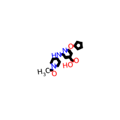 CC(=O)N1CCC(Nc2cc(C(=O)O)cc(OC3CCCC3)n2)CC1